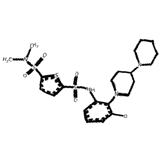 CN(C)S(=O)(=O)c1ccc(S(=O)(=O)Nc2cccc(Cl)c2N2CCC(N3CCCCC3)CC2)s1